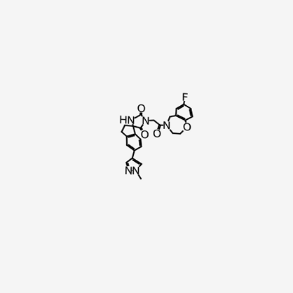 Cn1cc(-c2ccc3c(c2)CCC32NC(=O)N(CC(=O)N3CCOc4ccc(F)cc4C3)C2=O)cn1